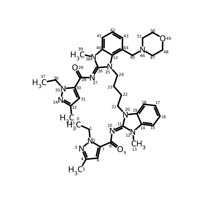 CCn1nc(C)cc1C(=O)/N=c1\n(C)c2ccccc2n1CCCCn1/c(=N/C(=O)c2cc(C)nn2CC)n(C)c2cccc(CN3CCOCC3)c21